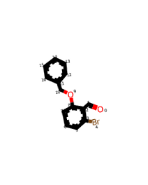 O=Cc1c(Br)cccc1OCc1ccccc1